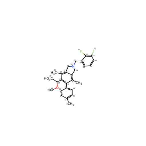 Cc1ccc(-c2c(C)c3c(c(C)c2C(OC(C)(C)C)C(=O)O)CN(Cc2cccc(F)c2F)C3)cc1